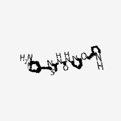 Nc1cc(-c2nc(NC(=O)Nc3cccc(OCC4CCCN4)n3)cs2)ccn1